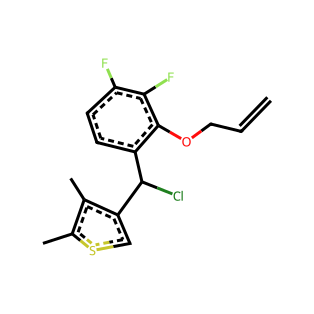 C=CCOc1c(C(Cl)c2csc(C)c2C)ccc(F)c1F